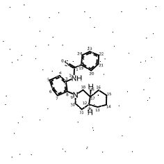 S=C(Nc1ccccc1N1CC[C@@H]2CCCC[C@H]2C1)c1ccccc1